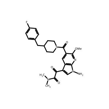 COc1nc2c(cc1C(=O)N1CCC(Cc3ccc(F)cc3)CC1)c(C(=O)C(=O)N(C)C)cn2N